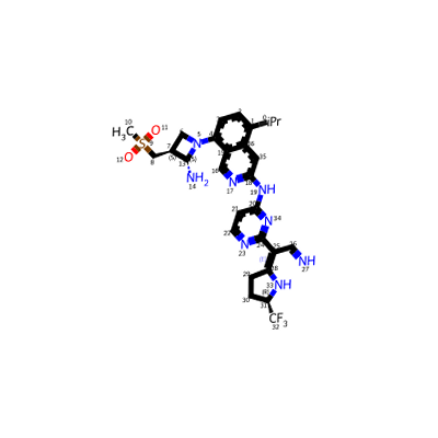 CC(C)c1ccc(N2C[C@H](CS(C)(=O)=O)[C@H]2N)c2cnc(Nc3ccnc(/C(C=N)=C4\CC[C@H](C(F)(F)F)N4)n3)cc12